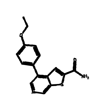 CCOc1ccc(-c2cncc3sc(C(N)=O)cc23)cc1